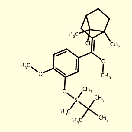 COC(=C1CC2CCC1(C)C2(C)C)c1ccc(OC)c(O[Si](C)(C)C(C)(C)C)c1